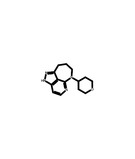 c1cc2[nH]nc3c2c(n1)N(C1CCOCC1)CCC3